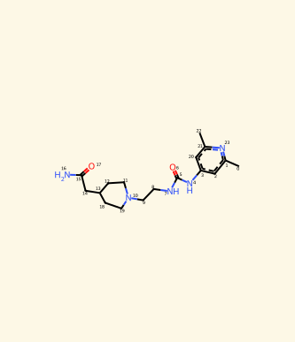 Cc1cc(NC(=O)NCCN2CCC(CC(N)=O)CC2)cc(C)n1